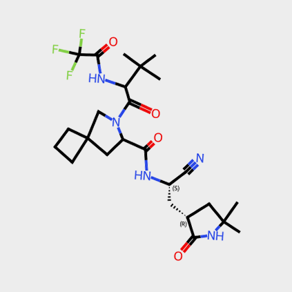 CC1(C)C[C@@H](C[C@@H](C#N)NC(=O)C2CC3(CCC3)CN2C(=O)C(NC(=O)C(F)(F)F)C(C)(C)C)C(=O)N1